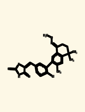 CO/N=C1\CCC(C)(C)c2cc(C)c(-c3cc(/C=C4/SC(=O)NC4=O)ccc3Cl)cc21